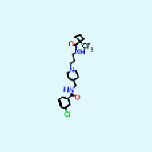 O=C(NCC1CCN(CCCNC(=O)C2(C(F)(F)F)CCC2)CC1)c1cccc(Cl)c1